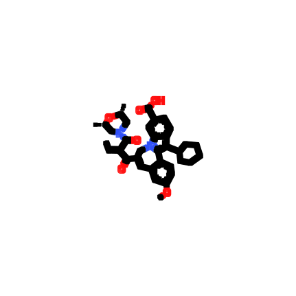 CC=C(C(=O)C1=Cc2cc(OC)ccc2-c2c(C3CCCCC3)c3ccc(C(=O)O)cc3n2C1)C(=O)N1C[C@@H](C)O[C@@H](C)C1